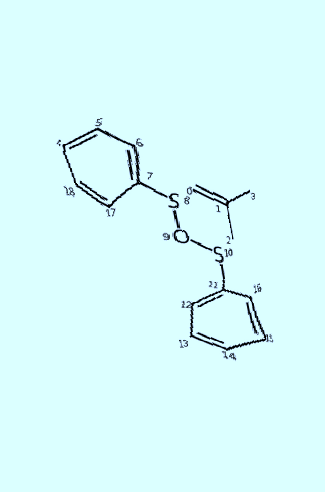 C=C(C)C.c1ccc(SOSc2ccccc2)cc1